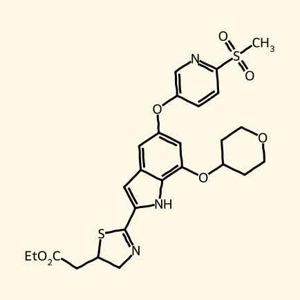 CCOC(=O)CC1CN=C(c2cc3cc(Oc4ccc(S(C)(=O)=O)nc4)cc(OC4CCOCC4)c3[nH]2)S1